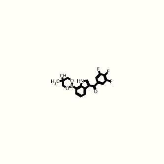 CC1(C)COB(c2cccc3c(C(=O)c4cc(F)c(F)c(F)c4)c[nH]c23)OC1